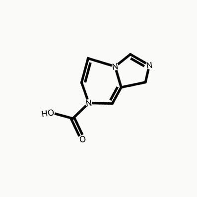 O=C(O)N1C=CN2C=NCC2=C1